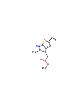 COC(=O)Cc1c(C)[nH]c2sc(C)cc12